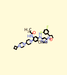 C=CC(=O)Nc1cc(Nc2cc(N3OCCC3c3cc(F)cc(F)c3)ncn2)c(OC)cc1N1CCC(N2CCN(C3CCC3)CC2)CC1